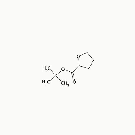 CC(C)(C)OC(=O)C1CCCO1